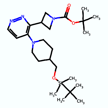 CC(C)(C)OC(=O)N1CC(c2nnccc2N2CCC(CO[Si](C)(C)C(C)(C)C)CC2)C1